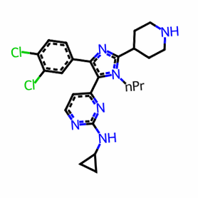 CCCn1c(C2CCNCC2)nc(-c2ccc(Cl)c(Cl)c2)c1-c1ccnc(NC2CC2)n1